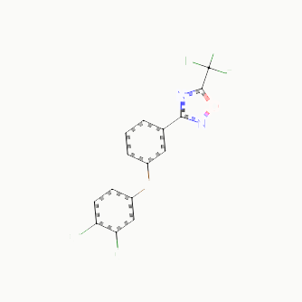 FC(F)(F)c1nc(-c2cc[c]c(Sc3ccc(Cl)c(Cl)c3)c2)no1